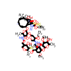 CCNC1COC(OC2C(O[C@H]3C#C/C=C\C#CC(C)(C)[C@]4(O)CC(=O)C(NC(=O)OC)C3/C4=C\CSSSC)OC(C)C(NOCC3COC(C)C(SC(=O)c4cc(OC)c(OC5OC(C)C(O)C(OC)C5O)c(I)c4C)C3O)C2O)CC1OC